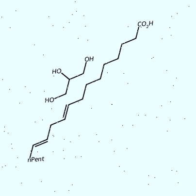 CCCCC/C=C/C/C=C/CCCCCCCC(=O)O.OCC(O)CO